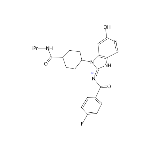 CC(C)NC(=O)C1CCC(n2/c(=N/C(=O)c3ccc(F)cc3)[nH]c3cnc(O)cc32)CC1